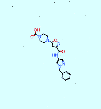 O=C(Nc1cnn(Cc2ccccc2)c1)c1cc(N2CCN(C(=O)O)CC2)on1